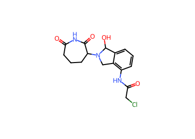 O=C1CCCC(N2Cc3c(NC(=O)CCl)cccc3C2O)C(=O)N1